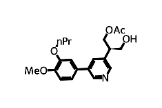 CCCOc1cc(-c2cncc([C@H](CO)COC(C)=O)c2)ccc1OC